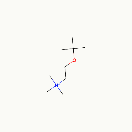 CC(C)(C)OCC[N+](C)(C)C